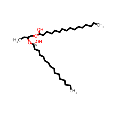 [CH2]CC(COC(O)CCCCCCCCCCCCCCC)O[C@H](O)CCCCCCCCCCCCCCC